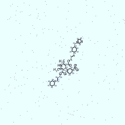 CC1=C(C(=O)OCC=Cc2ccc(Cn3ccnc3)cc2)C(c2cccc([N+](=O)[O-])c2)C(C(=O)OC/C=C/c2ccccc2)=C(C)N1